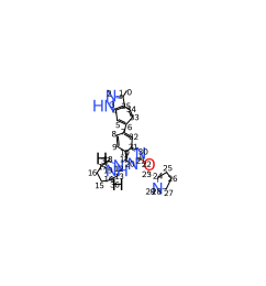 Cc1n[nH]c2cc(-c3ccc4c(N5C[C@H]6CC[C@@H](C5)N6)nc(OC[C@@H]5CCCN5C)nc4c3)ccc12